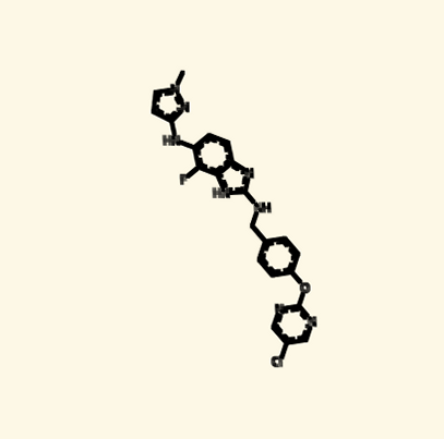 Cn1ccc(Nc2ccc3nc(NCc4ccc(Oc5ncc(Cl)cn5)cc4)[nH]c3c2F)n1